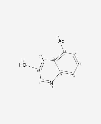 CC(=O)c1cccc2ncc(O)nc12